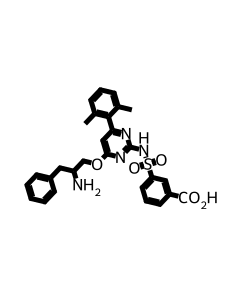 Cc1cccc(C)c1-c1cc(OCC(N)Cc2ccccc2)nc(NS(=O)(=O)c2cccc(C(=O)O)c2)n1